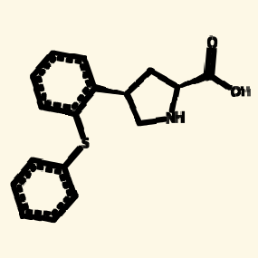 O=C(O)[C@@H]1C[C@H](c2ccccc2Sc2ccccc2)CN1